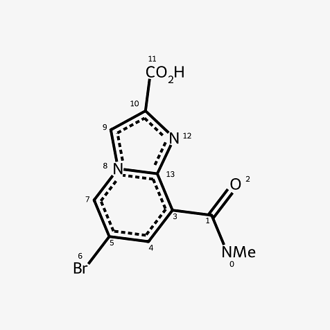 CNC(=O)c1cc(Br)cn2cc(C(=O)O)nc12